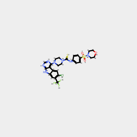 O=S(=O)(c1ccc(NC(=S)N2CCN(c3ncnc4[nH]c5cc(C(F)(F)F)c(Cl)cc5c34)CC2)cc1)N1CCOCC1